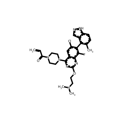 C=CC(=O)N1CCN(c2nc(OCCN(C)C)nc3c(F)c(-c4c(C)ccc5[nH]ncc45)c(Cl)cc23)CC1